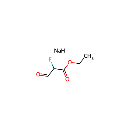 CCOC(=O)[C](F)C=O.[NaH]